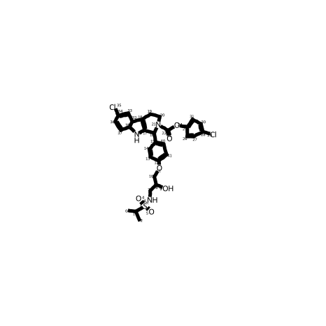 CC(C)S(=O)(=O)NCC(O)COc1ccc(C2C3=C(CCN2C(=O)Oc2ccc(Cl)cc2)C2C=C(Cl)C=CC2N3)cc1